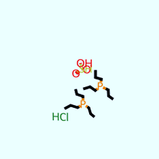 CCCP(CCC)CCC.CCCP(CCC)CCC.Cl.O=[SH](=O)O